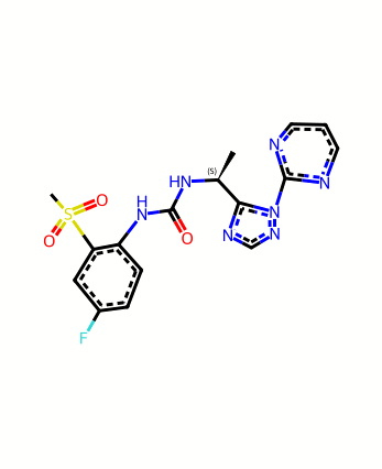 C[C@H](NC(=O)Nc1ccc(F)cc1S(C)(=O)=O)c1ncnn1-c1ncccn1